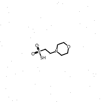 O=S(=O)(S)CCN1CCOCC1